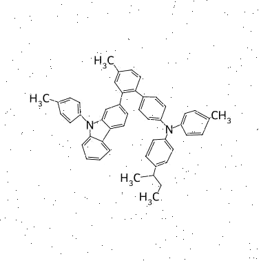 CCC(C)c1ccc(N(c2ccc(C)cc2)c2ccc(-c3ccc(C)cc3-c3ccc4c5ccccc5n(-c5ccc(C)cc5)c4c3)cc2)cc1